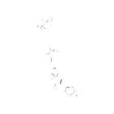 COc1ccc(C(=Cc2ccc(C=CC(=O)NCCCCCC(=O)NO)cc2)C(=O)NC2CC2)cc1